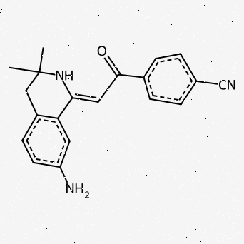 CC1(C)Cc2ccc(N)cc2C(=CC(=O)c2ccc(C#N)cc2)N1